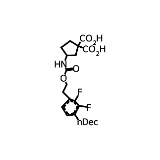 CCCCCCCCCCc1ccc(CCOC(=O)NC2CCC(C(=O)O)(C(=O)O)C2)c(F)c1F